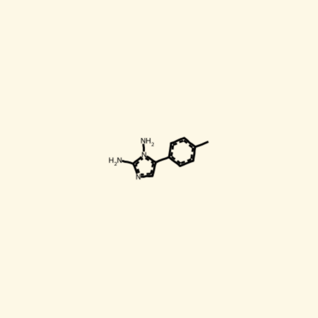 Cc1ccc(-c2cnc(N)n2N)cc1